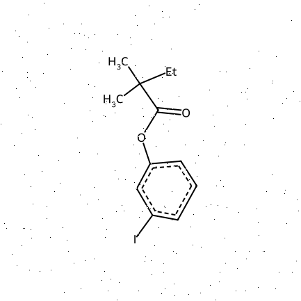 CCC(C)(C)C(=O)Oc1cccc(I)c1